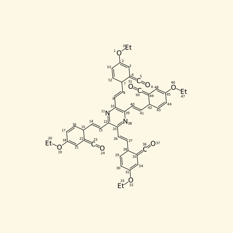 CCOC1=CC(=C=O)C(C=Cc2nc(C=CC3C=CC(OCC)=CC3=C=O)c(C=CC3C=CC(OCC)=CC3=C=O)nc2C=CC2C=CC(OCC)=CC2=C=O)C=C1